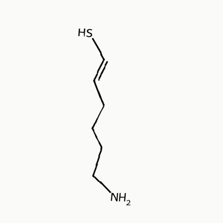 NCCCC/C=C/S